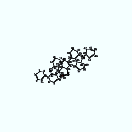 C1=CCCC(C2CC=CC3=C2SC2=C(CCC=C2)C32C3=CCCC=C3SC3C=C(C4=CCCC5=C4C4C=CC=CC4N5C4C=CC=CC4)C=CC32)=C1